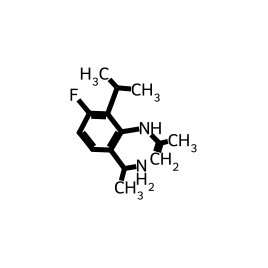 C=C(C)Nc1c(C(C)N)ccc(F)c1C(C)C